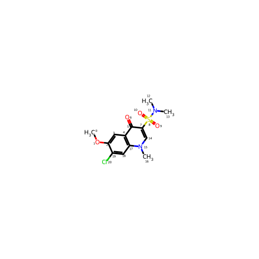 COc1cc2c(=O)c(S(=O)(=O)N(C)C)cn(C)c2cc1Cl